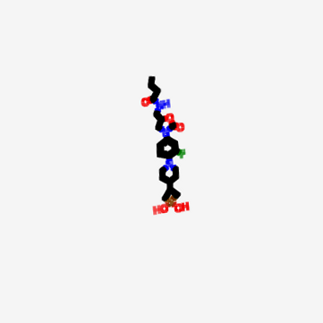 CCCC(=O)NCC1CN(c2ccc(N3CCC(C4CS(O)(O)C4)CC3)c(F)c2)C(=O)O1